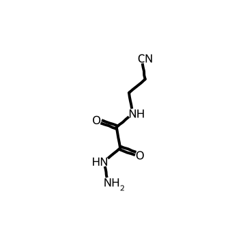 N#CCCNC(=O)C(=O)NN